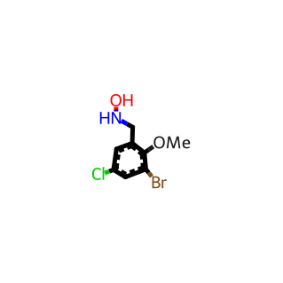 COc1c(Br)cc(Cl)cc1CNO